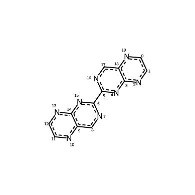 c1cnc2nc(-c3ncc4nccnc4n3)ncc2n1